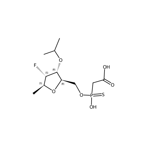 CC(C)O[C@H]1[C@@H](F)[C@H](C)O[C@@H]1COP(O)(=S)CC(=O)O